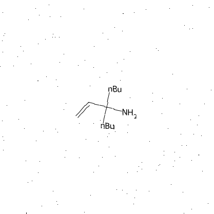 C=CC(N)(CCCC)CCCC